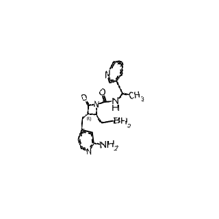 BCC1[C@@H](Cc2ccnc(N)c2)C(=O)N1C(=O)NC(C)c1cccnc1